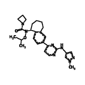 CC(C)ON(C(=O)N1CCC1)C1CCCCc2cc(-c3ccnc(Nc4cnn(C)c4)n3)ccc21